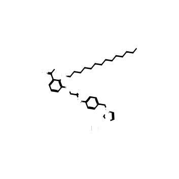 Br.CCCCCCCCCCCCCCOc1c(OCC(=O)Nc2ccc(CN3C=CSC3)cc2)cccc1C(C)=O